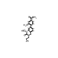 CCCCOC(=O)N(CCC(C)C)Cc1ccc(-c2ccc(C(N)=O)cc2C)cc1